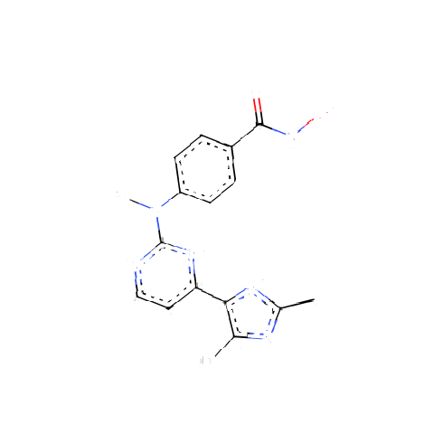 CCN(c1ccc(C(=O)NO)cc1)c1nccc(-c2[nH]c(C)nc2C(C)C)n1